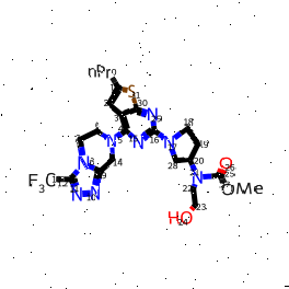 CCCc1cc2c(N3CCn4c(nnc4C(F)(F)F)C3)nc(N3CCC(N(CCO)C(=O)OC)C3)nc2s1